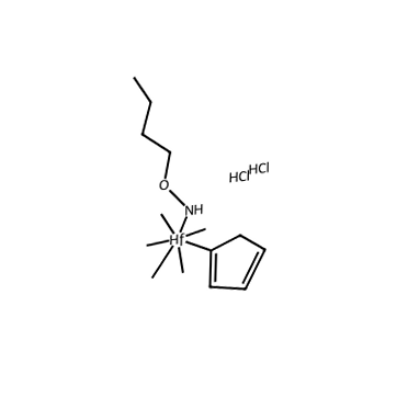 CCCCO[NH][Hf]([CH3])([CH3])([CH3])([CH3])([CH3])[C]1=CC=CC1.Cl.Cl